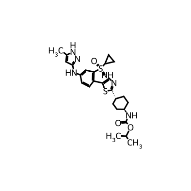 Cc1cc(Nc2ccc(-c3cnc([C@H]4CC[C@H](NC(=O)OC(C)C)CC4)s3)c(S(=N)(=O)C3CC3)c2)n[nH]1